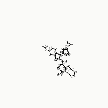 CCC1CCc2c(sc(NC(=O)C3=C(C(=O)O)C4CCCC(C3)C4)c2-c2nc(C3CC3)no2)C1